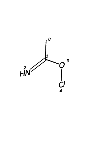 CC(=N)OCl